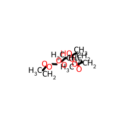 C=C(C)C(=O)O.C=C(C)C(=O)OC.C=C(C)C(=O)OCCOC(=O)C(=C)C